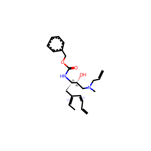 C=C/C=C\C(=C/C)C[C@H](NC(=O)OCc1ccccc1)[C@H](O)CN(C)CC=C